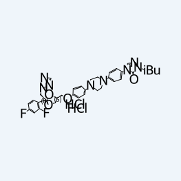 CCC(C)n1ncn(-c2ccc(N3CCN(c4ccc(OC[C@H]5CO[C@](Cn6cncn6)(c6ccc(F)cc6F)O5)cc4)CC3)cc2)c1=O.Cl.Cl